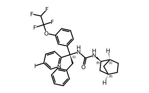 O=C(N[C@@H]1C[C@@H]2CC[C@H]1C2)N[C@@](Cc1ccccc1)(c1cccc(OC(F)(F)C(F)F)c1)c1ccc(I)cn1